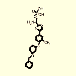 N[C@@H](COP(=O)(O)O)c1nc(-c2ccc(Sc3cccc(OCc4ccccc4)c3)c(C(F)(F)F)c2)cs1